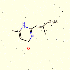 CCOC(=O)C(C)=Cc1nc(=O)cc(C)[nH]1